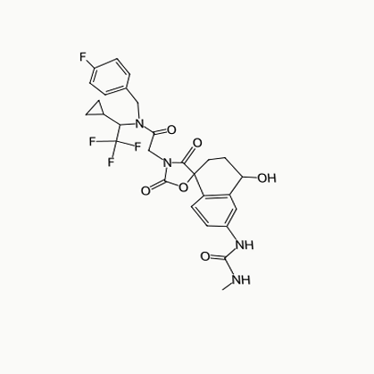 CNC(=O)Nc1ccc2c(c1)C(O)CCC21OC(=O)N(CC(=O)N(Cc2ccc(F)cc2)C(C2CC2)C(F)(F)F)C1=O